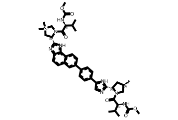 COC(=O)N[C@H](C(=O)N1C[C@H](F)C[C@H]1c1ncc(-c2ccc(-c3ccc4c(ccc5nc([C@@H]6C[Si](C)(C)CN6C(=O)[C@@H](NC(=O)OC)C(C)C)[nH]c54)c3)cc2)[nH]1)C(C)C